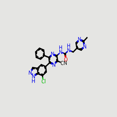 Cc1ncc(CNC(=O)Nc2nc(-c3ccccc3)c(-c3cc(Cl)c4[nH]ncc4c3)nc2C#N)cn1